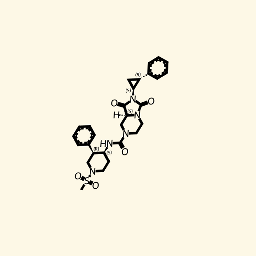 CS(=O)(=O)N1CC[C@H](NC(=O)N2CCN3C(=O)N([C@H]4C[C@@H]4c4ccccc4)C(=O)[C@@H]3C2)[C@H](c2ccccc2)C1